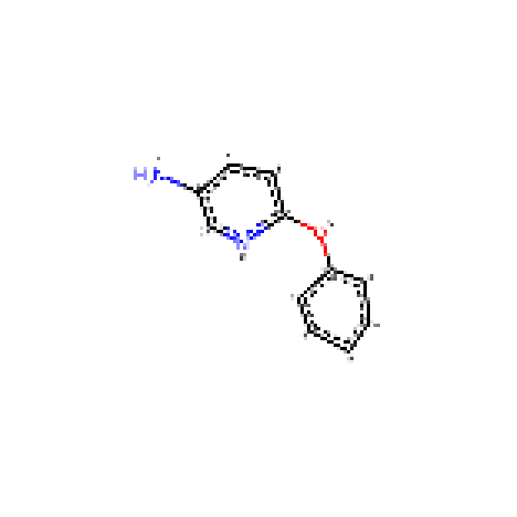 Nc1ccc(Oc2ccccc2)nc1